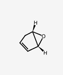 C1=C[C@H]2O[C@H]2C1